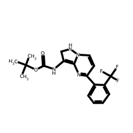 CC(C)(C)OC(=O)NC1=C2N=C(c3ccccc3C(F)(F)F)C=CN2NC1